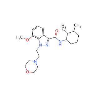 COc1cccc2c(C(=O)NC3CCCC(C)C3C)nn(CCN3CCOCC3)c12